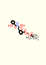 CC(C)(C)C(=O)OCOC(=O)c1cccc2c1OB(O)[C@@H](NC(=O)c1ccccc1O)C2